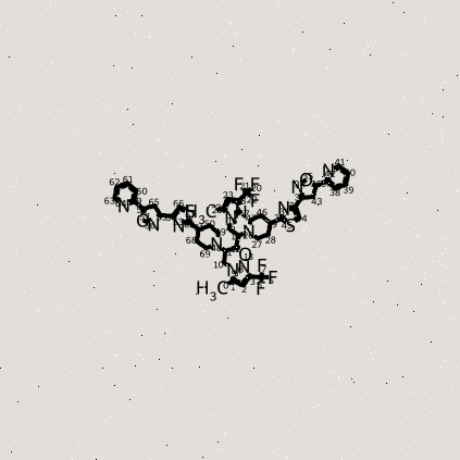 Cc1cc(C(F)(F)F)nn1CC(C(=O)C(Cn1nc(C(F)(F)F)cc1C)N1CCC(c2nc(C3=NOC(c4ccccn4)C3)cs2)CC1)N1CCC(c2nc(C3=NOC(c4ccccn4)C3)cs2)CC1